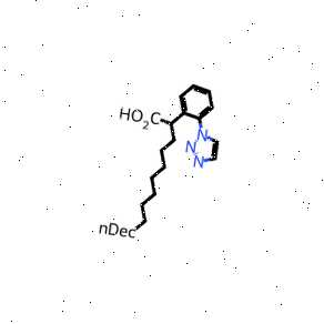 CCCCCCCCCCCCCCCCCC(C(=O)O)c1ccccc1-n1ccnn1